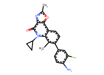 Cc1nc2c(=O)n(C3CC3)c3c(C)c(-c4ccc(N)c(F)c4)ccc3c2o1